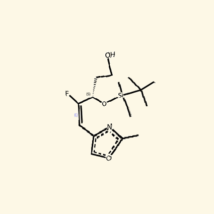 Cc1nc(/C=C(/F)[C@H](CCO)O[Si](C)(C)C(C)(C)C)co1